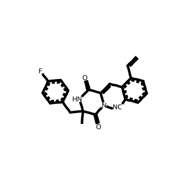 C=Cc1cccc(C#N)c1C=C1C(=O)NC(C)(Cc2ccc(F)cc2)C(=O)N1C